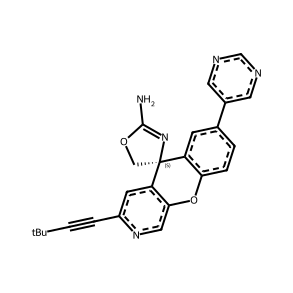 CC(C)(C)C#Cc1cc2c(cn1)Oc1ccc(-c3cncnc3)cc1[C@@]21COC(N)=N1